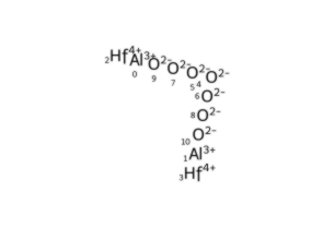 [Al+3].[Al+3].[Hf+4].[Hf+4].[O-2].[O-2].[O-2].[O-2].[O-2].[O-2].[O-2]